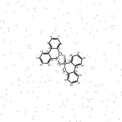 S=P1(SP2Oc3ccccc3-c3ccccc32)Oc2ccccc2-c2ccccc21